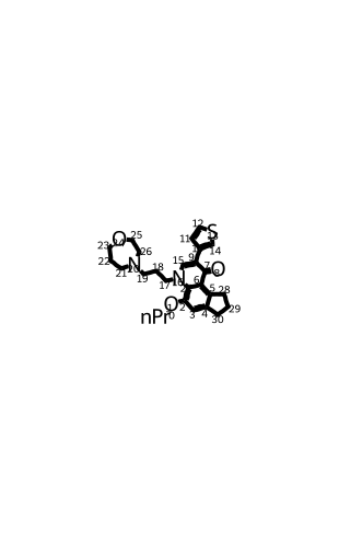 CCCOc1cc2c(c3c(=O)c(-c4ccsc4)cn(CCCN4CCCOCC4)c13)CCC2